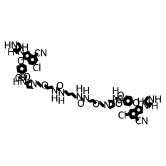 N#Cc1cc(Cl)cc2c1C[C@H](N1C[C@@H]3C[C@H]1CN3)[C@H]2Oc1ccc(S(=O)(=O)N[C@@H]2CCN(CCOCCNC(=O)NCCCCNC(=O)NCCOCCN3CC[C@@H](NS(=O)(=O)c4ccc(O[C@H]5c6cc(Cl)cc(C#N)c6C[C@@H]5N5C[C@@H]6C[C@H]5CN6)cc4)C3)C2)cc1